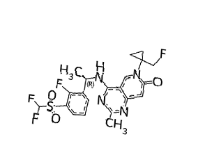 Cc1nc(N[C@H](C)c2cccc(S(=O)(=O)C(F)F)c2F)c2cn(C3(CF)CC3)c(=O)cc2n1